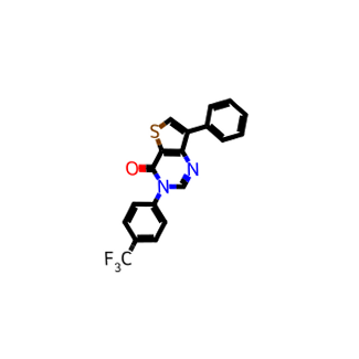 O=c1c2scc(-c3ccccc3)c2ncn1-c1ccc(C(F)(F)F)cc1